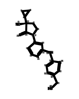 N#C[C@@]1(C2CC2)CCN(c2ccnc(Nc3cnc(CO)cn3)c2)C1=O